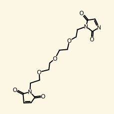 O=C1C=CC(=O)N1CCOCCOCCOCCN1C(=O)C=NC1=O